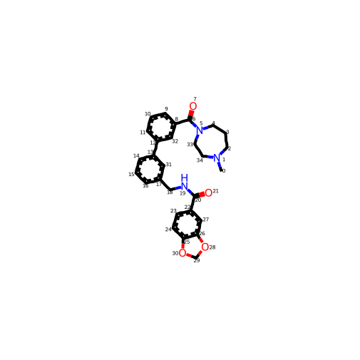 CN1CCCN(C(=O)c2cccc(-c3cccc(CNC(=O)c4ccc5c(c4)OCO5)c3)c2)CC1